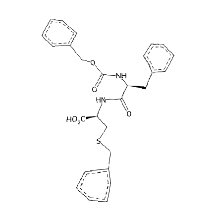 O=C(N[C@@H](Cc1ccccc1)C(=O)N[C@@H](CSCc1ccccc1)C(=O)O)OCc1ccccc1